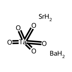 [BaH2].[O]=[Ta](=[O])(=[O])(=[O])=[O].[SrH2]